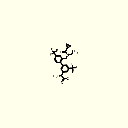 CCN(Cc1cc(C(F)(F)F)ccc1-c1cc(C(C)C(=O)Cl)cc(C(F)(F)F)c1)C(=O)C1CC1